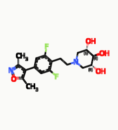 Cc1noc(C)c1-c1cc(F)c(CCN2C[C@@H](O)[C@H](O)[C@@H](O)C2)c(F)c1